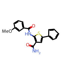 COc1cccc(C(=O)Nc2sc(-c3ccccc3)cc2C(N)=O)c1